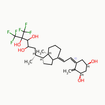 C=C1/C(=C\C=C2CCC[C@@]3(C)C2CC[C@@H]3[C@H](C)CC(O)C(O)C(O)(C(F)(F)F)C(F)(F)F)C[C@@H](O)C[C@H]1O